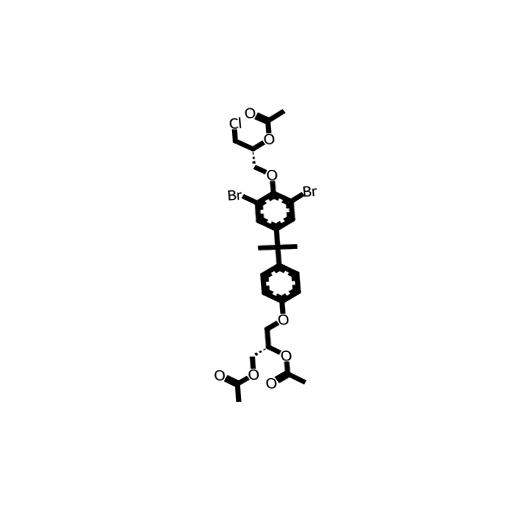 CC(=O)OC[C@H](COc1ccc(C(C)(C)c2cc(Br)c(OC[C@H](CCl)OC(C)=O)c(Br)c2)cc1)OC(C)=O